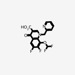 O=C(O)c1cn(Cc2ccccn2)c2c(OC(F)F)c(F)c(F)cc2c1=O